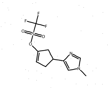 Cn1cnc(C2CC=C(OS(=O)(=O)C(F)(F)F)C2)c1